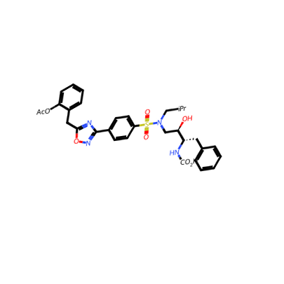 CC(=O)Oc1ccccc1Cc1nc(-c2ccc(S(=O)(=O)N(CC(C)C)C[C@@H](O)[C@H](Cc3ccccc3)NC(=O)O)cc2)no1